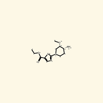 CCOC(=O)c1cnc(N2CC[C@@H](N)[C@@H](OC)C2)s1